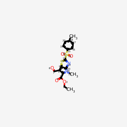 CCOC(=O)c1c(C=O)c2sc(S(=O)(=O)c3ccc(C)cc3)nc2n1C